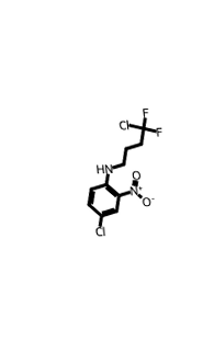 O=[N+]([O-])c1cc(Cl)ccc1NCCCC(F)(F)Cl